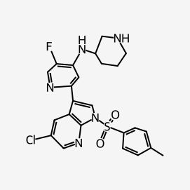 Cc1ccc(S(=O)(=O)n2cc(-c3cc(NC4CCCNC4)c(F)cn3)c3cc(Cl)cnc32)cc1